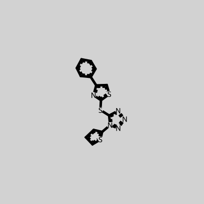 c1ccc(-c2csc(Sc3nnnn3-c3cccs3)n2)cc1